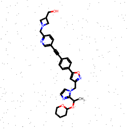 CC(OC1CCCCO1)c1nccn1Cc1cc(-c2ccc(C#Cc3ccc(CN4CC(CO)C4)nc3)cc2)on1